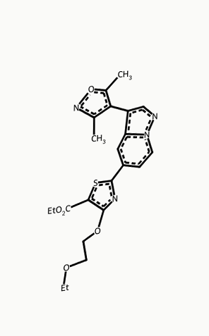 CCOCCOc1nc(-c2ccn3ncc(-c4c(C)noc4C)c3c2)sc1C(=O)OCC